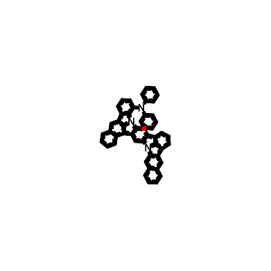 c1ccc(N(c2ccccc2)c2cccc3c4cc5ccccc5c5c6cc7c(nc6n(c23)c45)c2cccc3c4cc5ccccc5cc4n7c32)cc1